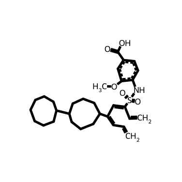 C=C/C=C(\C=C(/C=C)S(=O)(=O)Nc1ccc(C(=O)O)cc1OC)C1CCCC(C2CCCCCCC2)CCC1